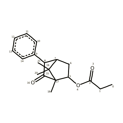 CCC(=O)OC1CC2C(c3ccccc3)C(=O)C1(C)C2(C)C